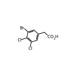 O=C(O)Cc1cc(Cl)c(Cl)c(Br)c1